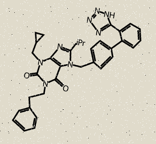 CC(C)c1nc2c(c(=O)n(CCc3ccccc3)c(=O)n2CC2CC2)n1Cc1ccc(-c2ccccc2-c2nnn[nH]2)cc1